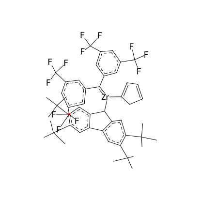 CC(C)(C)c1cc2c(cc1C(C)(C)C)[CH]([Zr]([C]1=CC=CC1)=[C](c1cc(C(F)(F)F)cc(C(F)(F)F)c1)c1cc(C(F)(F)F)cc(C(F)(F)F)c1)c1cc(C(C)(C)C)c(C(C)(C)C)cc1-2